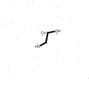 OCCS.[Co]